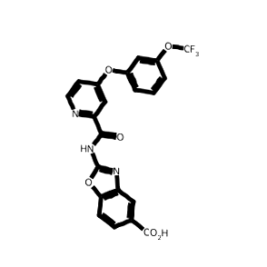 O=C(O)c1ccc2oc(NC(=O)c3cc(Oc4cccc(OC(F)(F)F)c4)ccn3)nc2c1